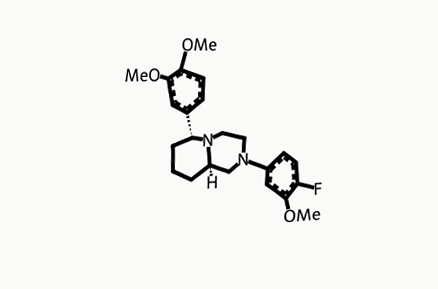 COc1cc(N2CCN3[C@H](CCC[C@@H]3c3ccc(OC)c(OC)c3)C2)ccc1F